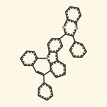 C1=C(c2ccccc2)c2cccc3c4cc(-c5nc6ccccc6nc5-c5ccccc5)ccc4n(c23)-c2ccccc21